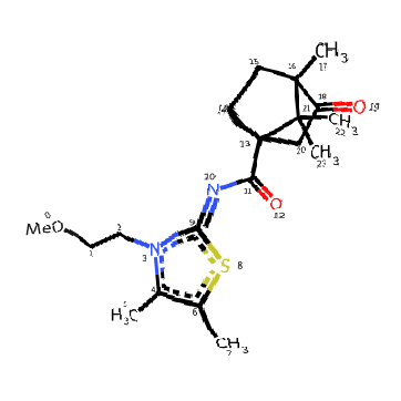 COCCn1c(C)c(C)sc1=NC(=O)C12CCC(C)(C(=O)C1)C2(C)C